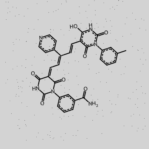 Cc1cccc(-n2c(=O)[nH]c(O)c(C=CC(=CC=C3C(=O)NC(=O)N(c4cccc(C(N)=O)c4)C3=O)c3ccncc3)c2=O)c1